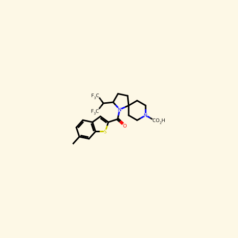 Cc1ccc2cc(C(=O)N3C(C(C(F)(F)F)C(F)(F)F)CCC34CCN(C(=O)O)CC4)sc2c1